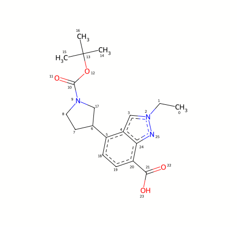 CCn1cc2c(C3CCN(C(=O)OC(C)(C)C)C3)ccc(C(=O)O)c2n1